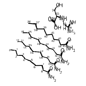 CCCCCCCCCC(N)=O.CCCCCCCCCC(N)=O.CCCCCCCCCC(N)=O.CCCCCCCCCC(N)=O.N=C(N)NNC(CO)C(=O)O